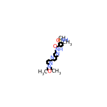 Cc1ccc(C(=O)NCc2cc3nc(-c4cccc(N5C[C@@H](C)O[C@@H](C)C5)n4)ccc3cn2)cc1S(C)(=N)=O